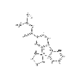 NC(N)=NC(=O)c1ccc2c(c1)C1(CCCO1)c1cccnc1-2